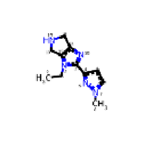 CCn1c(-c2ccn(C)n2)nc2c1CNC2